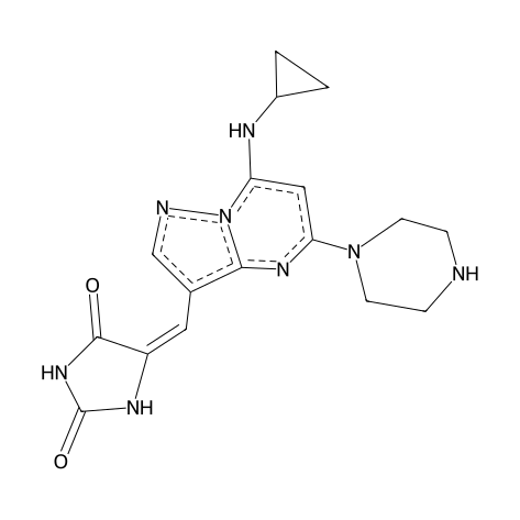 O=C1NC(=O)/C(=C\c2cnn3c(NC4CC4)cc(N4CCNCC4)nc23)N1